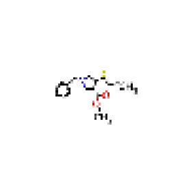 CCCC(=S)[C@@H]1CN(Cc2ccccc2)C[C@H]1C(=O)OCC